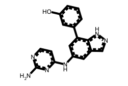 Nc1nccc(Nc2cc(-c3cccc(O)c3)c3[nH]ncc3c2)n1